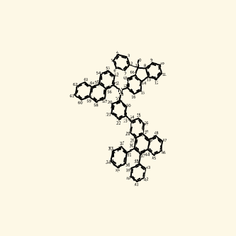 CC1(c2ccccc2)c2ccccc2-c2ccc(N(c3cccc(-c4ccc5c(c4)c(-c4ccccc4)c(-c4ccccc4)c4ccccc45)c3)c3cccc4c3ccc3ccccc34)cc21